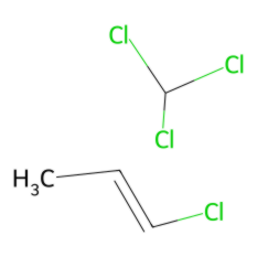 CC=CCl.ClC(Cl)Cl